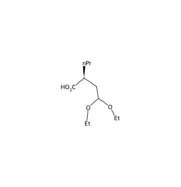 CCC[C@@H](CC(OCC)OCC)C(=O)O